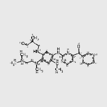 C=C(C=O)CNc1cc(Nc2nccc(C(=O)c3cccnc3)n2)c(OC)cc1N(C)CCN(C)C